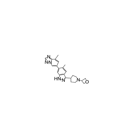 Cc1cc2c(C3CCN(C4COC4)CC3)n[nH]c2cc1-c1cc(C)c2ncnn2c1